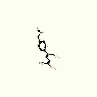 CC/C(=C\C=C(C)C)c1ccc(CN=O)cc1